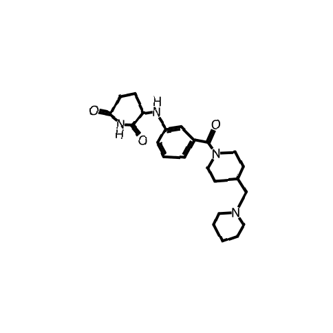 O=C1CCC(Nc2cccc(C(=O)N3CCC(CN4CCCCC4)CC3)c2)C(=O)N1